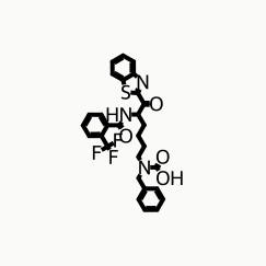 O=C(NC(CCCCN(Cc1ccccc1)C(=O)O)C(=O)c1nc2ccccc2s1)c1ccccc1C(F)(F)F